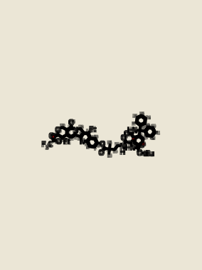 CCc1c2c(nc3ccc(OC(=O)C(C)(C)CCNC(=O)[C@@H](CC(=O)NC(c4ccccc4)(c4ccccc4)c4ccccc4)NC(=O)OC(C)(C)C)cc13)-c1cc3c(c(=O)n1C2)COC(=O)[C@@]3(CC)OC(=O)C(F)(F)F